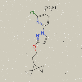 CCOC(=O)c1ccc(-n2ccc(OCCC3C4(CC4)C34CC4)n2)nc1Cl